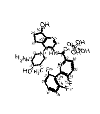 C[C@H]1CN(c2c(NC(=O)c3ccc(F)c(-c4c(F)cccc4F)n3)cnc3c2CCC3O)C[C@@H](N)[C@@H]1O.O=P(O)(O)O